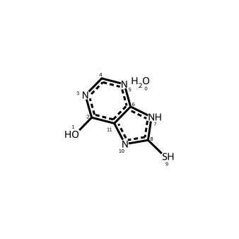 O.Oc1ncnc2[nH]c(S)nc12